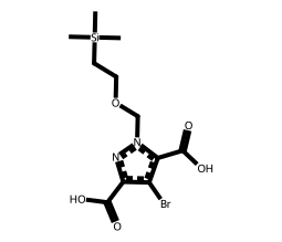 C[Si](C)(C)CCOCn1nc(C(=O)O)c(Br)c1C(=O)O